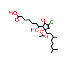 CC(=O)OC1(CCC(C)CCCC(C)C)C=C(Cl)C(=O)C1C(O)CCCCCC(=O)O